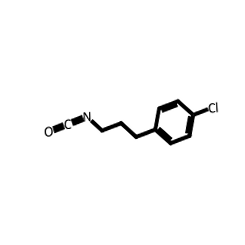 O=C=NCCCc1ccc(Cl)cc1